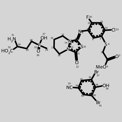 COC(=O)CSc1cc(/N=c2\sc(=O)n3n2CCCC3)c(F)cc1Cl.CP(=O)(O)CCC(N)C(=O)O.N#Cc1cc(Br)c(O)c(Br)c1